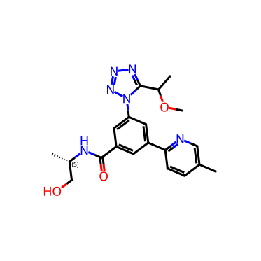 COC(C)c1nnnn1-c1cc(C(=O)N[C@@H](C)CO)cc(-c2ccc(C)cn2)c1